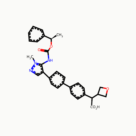 C[C@@H](OC(=O)Nc1c(-c2ccc(-c3ccc(C(C(=O)O)C4COC4)cc3)cc2)cnn1C)c1ccccc1